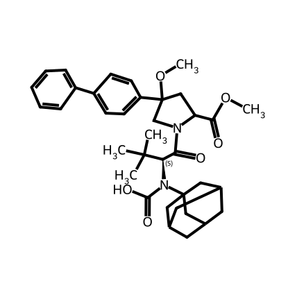 COC(=O)C1CC(OC)(c2ccc(-c3ccccc3)cc2)CN1C(=O)[C@@H](N(C(=O)O)C12CC3CC(CC(C3)C1)C2)C(C)(C)C